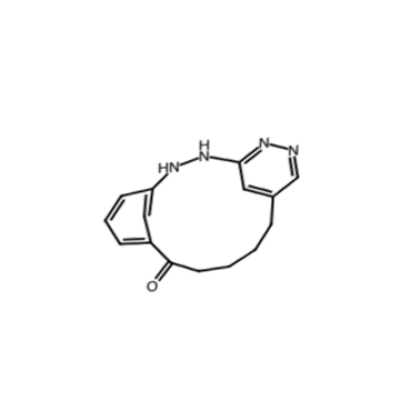 O=C1CCCCc2cnnc(c2)NNc2cccc1c2